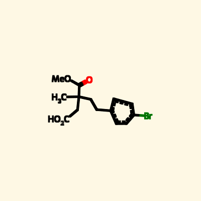 COC(=O)C(C)(CCc1ccc(Br)cc1)CC(=O)O